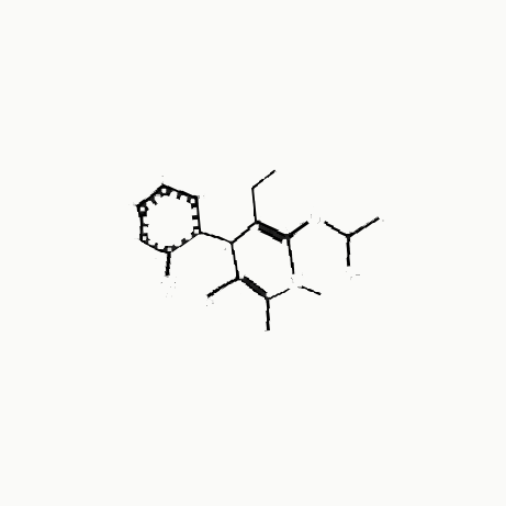 CCC1=C(OC(C)N)N(C)C(C)=C(C)C1c1ccccc1Cl